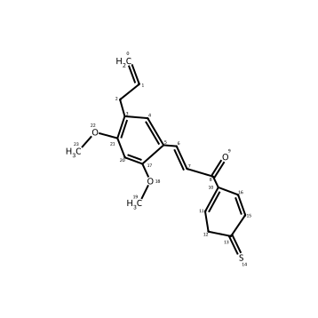 C=CCc1cc(C=CC(=O)C2=CCC(=S)C=C2)c(OC)cc1OC